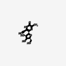 C#Cc1[nH]c(=O)c(C)nc1[C@@H]1O[C@H](CO)C(O)[C@@H]1O